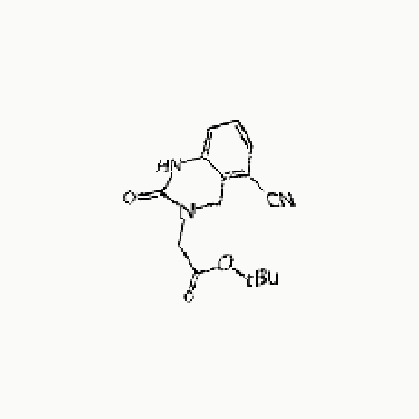 CC(C)(C)OC(=O)CN1Cc2c(C#N)cccc2NC1=O